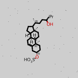 CC(C)C(O)CC[C@@H](C)C1CC[C@H]2[C@@H]3CC=C4C[C@@H](OS(=O)(=O)O)CC[C@]4(C)[C@H]3CC[C@]12C